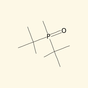 CC(C)(C)P(C)(=O)C(C)(C)C